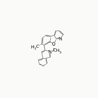 Cc1ccc2c(oc3ncccc32)c1-c1cc2ccccc2c[n+]1C